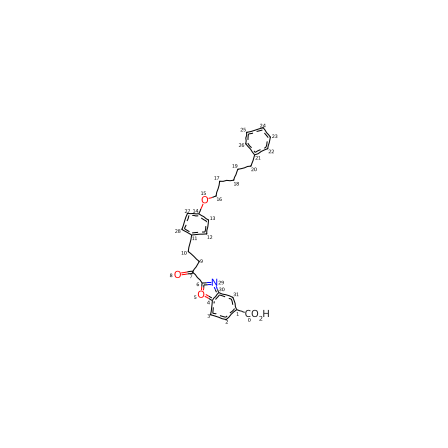 O=C(O)c1ccc2oc(C(=O)CCc3ccc(OCCCCCc4ccccc4)cc3)nc2c1